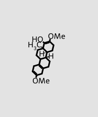 COC1=CCC2=C(CC[C@@H]3C2CC[C@]2(C)C(O)=C(OC)CC[C@@H]32)C1